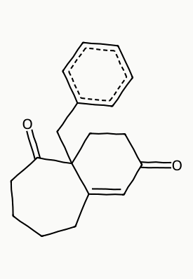 O=C1C=C2CCCCC(=O)C2(Cc2ccccc2)CC1